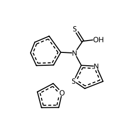 OC(=S)N(c1ccccc1)c1nccs1.c1ccoc1